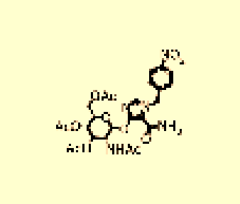 CC(=O)N[C@H]1[C@H](Oc2ncn(Cc3ccc([N+](=O)[O-])cc3)c2C(N)=O)O[C@H](COC(C)=O)[C@@H](OC(C)=O)[C@@H]1OC(C)=O